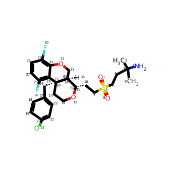 CC(C)(N)CCS(=O)(=O)CC[C@@H]1OCC[C@@]2(Cc3ccc(Cl)cc3)c3c(F)ccc(F)c3OC[C@@H]12